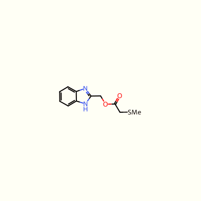 CSCC(=O)OCc1nc2ccccc2[nH]1